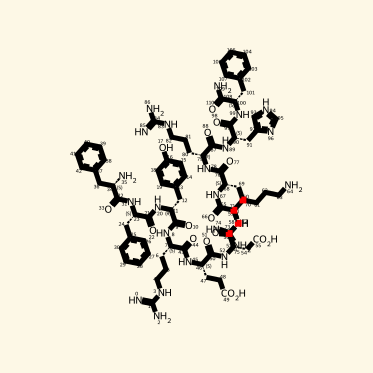 N=C(N)NCCC[C@H](NC(=O)[C@@H](Cc1ccc(O)cc1)NC(=O)[C@H](Cc1ccccc1)NC(=O)[C@@H](N)Cc1ccccc1)C(=O)N[C@@H](CCC(=O)O)C(=O)N[C@@H](CC(=O)O)C(=O)N[C@H](CCCCN)C(=O)N[C@@H](CCCNC(=N)N)C(=O)N[C@H](CCCNC(=N)N)C(=O)N[C@@H](Cc1c[nH]cn1)C(=O)N[C@@H](Cc1ccccc1)C(N)=O